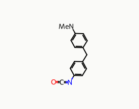 CNc1ccc(Cc2ccc(N=C=O)cc2)cc1